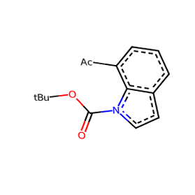 CC(=O)c1cccc2ccn(C(=O)OC(C)(C)C)c12